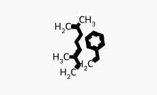 C=C/C(C)=C/CCC(=C)C.C=Cc1ccccc1